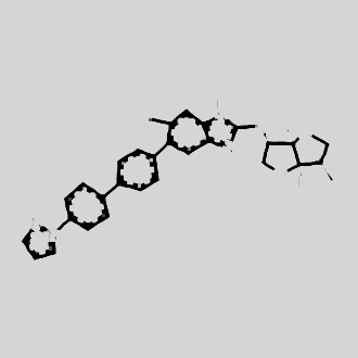 C[C@@H]1CO[C@H]2[C@@H]1OC[C@H]2Oc1nc2cc(-c3ccc(-c4ccc(-n5cccn5)cc4)cc3)c(Cl)cc2[nH]1